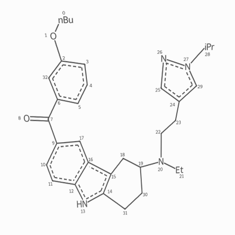 CCCCOc1cccc(C(=O)c2ccc3[nH]c4c(c3c2)CC(N(CC)CCc2cnn(C(C)C)c2)CC4)c1